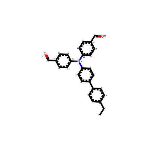 CCc1ccc(-c2ccc(N(c3ccc(C=O)cc3)c3ccc(C=O)cc3)cc2)cc1